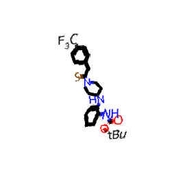 CC(C)(C)OC(=O)Nc1ccccc1NC1CCN(C(=S)Cc2ccc(C(F)(F)F)cc2)CC1